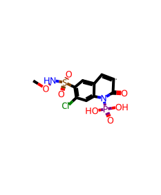 CONS(=O)(=O)c1cc2c[c]c(=O)n(P(=O)(O)O)c2cc1Cl